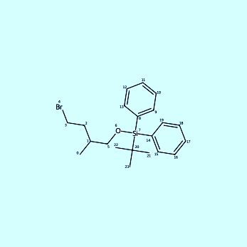 CC(CCBr)CO[Si](c1ccccc1)(c1ccccc1)C(C)(C)C